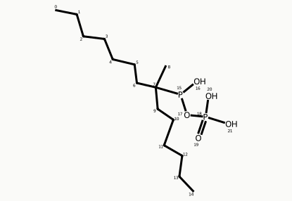 CCCCCCCC(C)(CCCCCC)P(O)OP(=O)(O)O